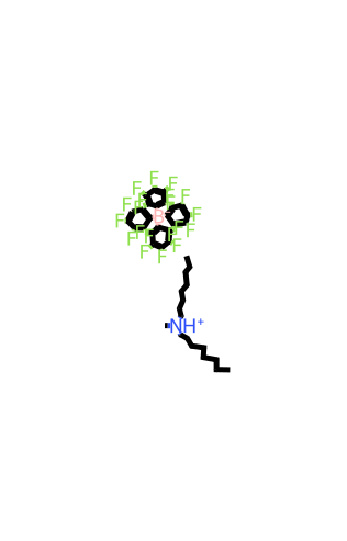 CCCCCCCC[NH+](C)CCCCCCCC.Fc1c(F)c(F)c([B-](c2c(F)c(F)c(F)c(F)c2F)(c2c(F)c(F)c(F)c(F)c2F)c2c(F)c(F)c(F)c(F)c2F)c(F)c1F